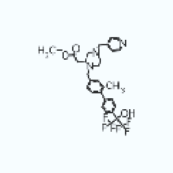 CCOC(=O)C[C@H]1CN(Cc2ccncc2)CCN1Cc1ccc(-c2ccc(C(O)(C(F)(F)F)C(F)(F)F)cc2)c(C)c1